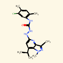 Cc1cc(C)c(NC(=O)NNc2cc(C(C)C)c3c(n2)c(C)nn3C)cc1Cl